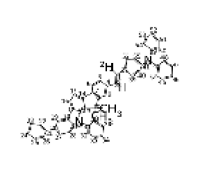 [2H]/C(=C(/[2H])c1ccc2c(c1)C(C)(C)c1c-2ccc2c3cc(-c4ccccc4)ccc3n(-c3ccccc3)c12)c1ccc(N(c2ccccc2)c2ccccc2)cc1